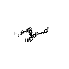 COCCCN1CCOc2ccc(CO[C@H]3CNCC[C@@H]3c3ccc(OCCOCCc4ccc(F)cc4)cc3)cc21